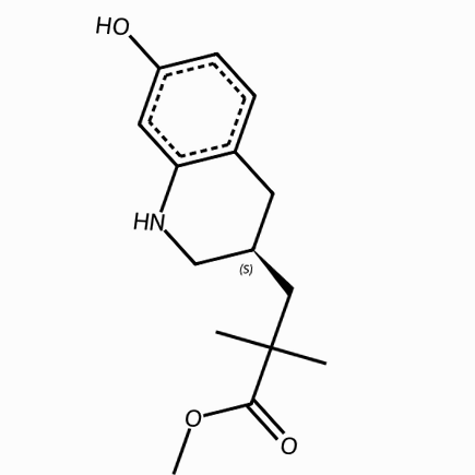 COC(=O)C(C)(C)C[C@H]1CNc2cc(O)ccc2C1